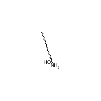 CCCCCCCCCCCCCCC=CC(O)CN